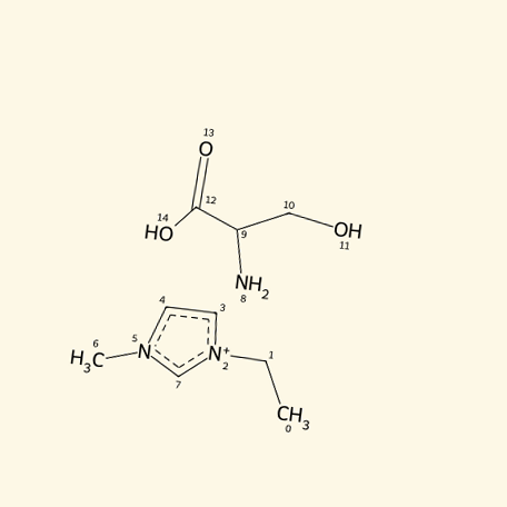 CC[n+]1ccn(C)c1.NC(CO)C(=O)O